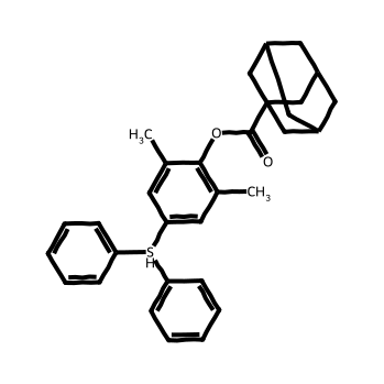 Cc1cc([SH](c2ccccc2)c2ccccc2)cc(C)c1OC(=O)C12CC3CC(CC(C3)C1)C2